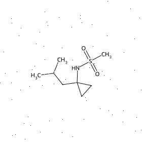 CC(C)CC1(NS(C)(=O)=O)CC1